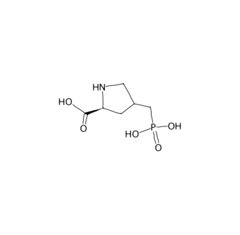 O=C(O)[C@@H]1CC(CP(=O)(O)O)CN1